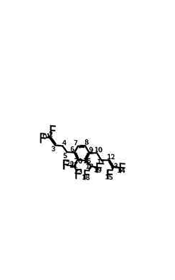 FC(F)=CCCc1ccc(CCC=C(F)F)c(C(F)F)c1C(F)F